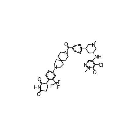 CN1C[C@H](Nc2cnn(C)c(=O)c2Cl)C[C@H](c2ccc(C(=O)N3CCC4(CC3)CCN(c3ccc(C5CCC(=O)NC5=O)c(C(F)(F)F)c3)CC4)cc2)C1